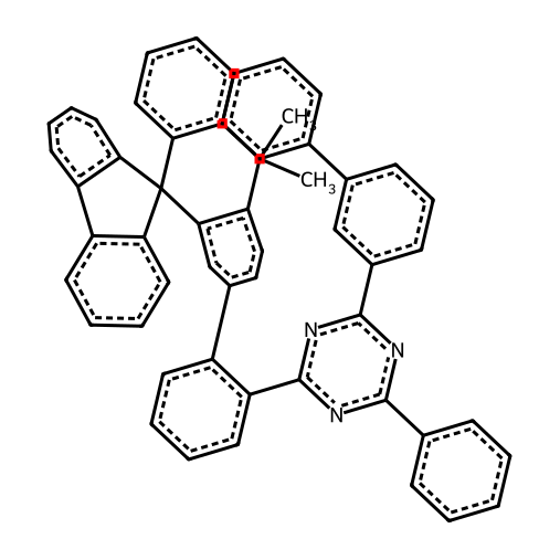 CC1(C)c2ccccc2C2(c3ccccc3-c3ccccc32)c2cc(-c3ccccc3-c3nc(-c4ccccc4)nc(-c4cccc(-c5ccccc5)c4)n3)ccc21